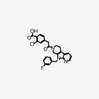 O=C(O)c1ccc(CC(=O)N2CCc3c(n(Cc4cccc(F)c4)c4ncccc34)C2)cc1Cl